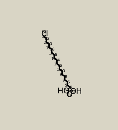 O=P(O)(O)CCCCCCCCCCCCCCCCCCCCCl